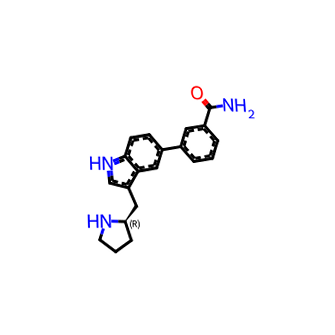 NC(=O)c1cccc(-c2ccc3[nH]cc(C[C@H]4CCCN4)c3c2)c1